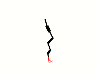 CC#CC=CC=CO